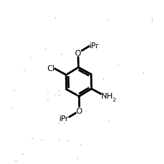 CC(C)Oc1cc(Cl)c(OC(C)C)cc1N